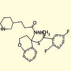 C=C(SC1(N(N)C(=O)CCC2CCCNC2)CCOc2ccccc21)c1cc(F)ccc1F